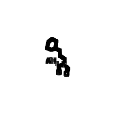 O=CN(C=O)CCCC1CCCCC1.[AlH3]